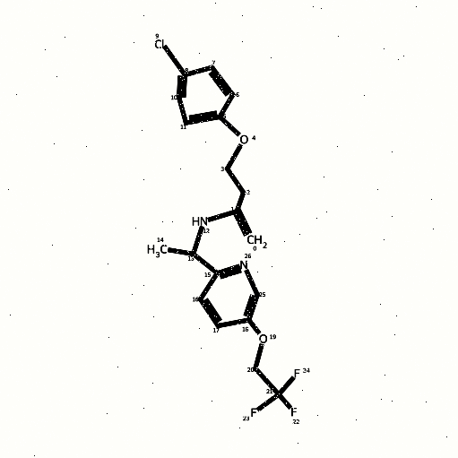 C=C(CCOc1ccc(Cl)cc1)NC(C)c1ccc(OCC(F)(F)F)cn1